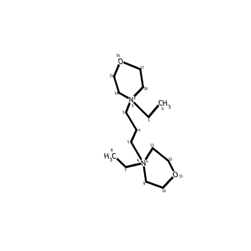 CC[N+]1(CCC[N+]2(CC)CCOCC2)CCOCC1